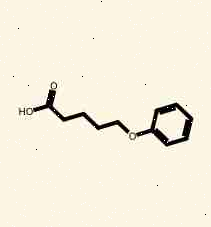 O=C(O)CCCCOc1[c]cccc1